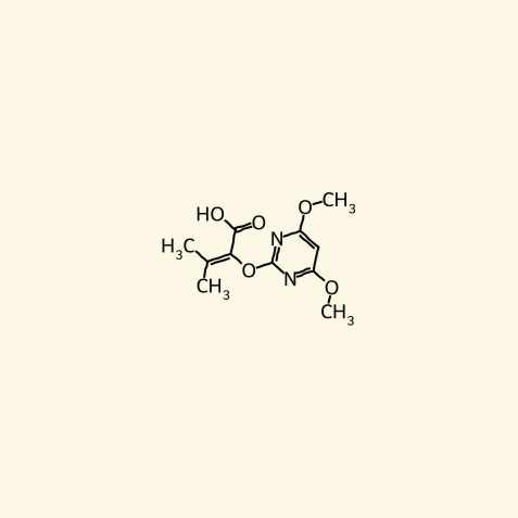 COc1cc(OC)nc(OC(C(=O)O)=C(C)C)n1